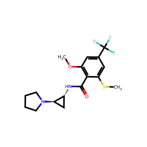 COc1cc(C(F)(F)F)cc(SC)c1C(=O)N[C@@H]1C[C@H]1N1CCCC1